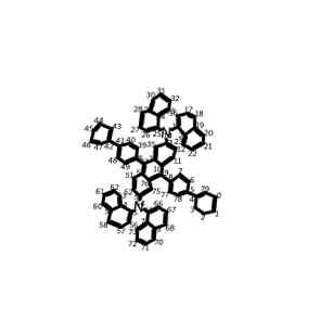 C1=CCCC(c2ccc(-c3c4ccc(N(c5cccc6ccccc56)c5cccc6ccccc56)cc4c(-c4ccc(-c5ccccc5)cc4)c4ccc(N(c5cccc6ccccc56)c5cccc6ccccc56)cc34)cc2)=C1